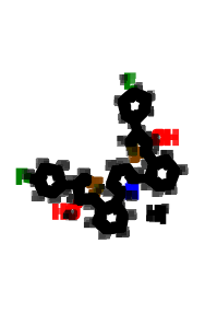 Oc1c(-c2ccc(F)cc2)csc1-c1ccccc1-c1cccc(-c2ccccc2-c2scc(-c3ccc(F)cc3)c2O)n1.[Hf]